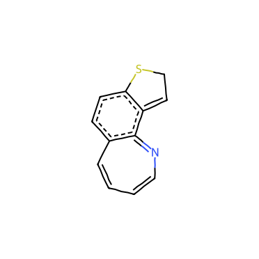 C1=CN=c2c(ccc3c2=CCS3)C=C1